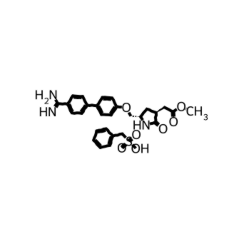 COC(=O)C[C@@H]1C[C@@H](COc2ccc(-c3ccc(C(=N)N)cc3)cc2)NC1=O.O=S(=O)(O)Cc1ccccc1